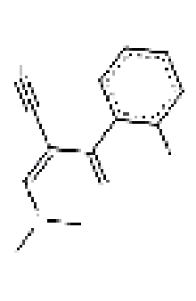 CN(C)/C=C(/C#N)C(=O)c1ccccc1F